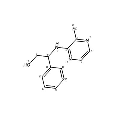 CCc1nccnc1NC(CO)c1ccccc1